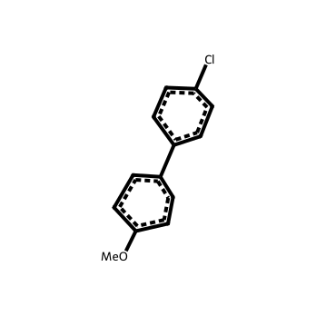 COc1ccc(-c2ccc(Cl)cc2)cc1